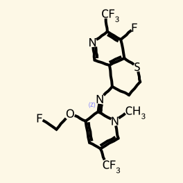 Cn1cc(C(F)(F)F)cc(OCF)/c1=N/C1CCSc2c1cnc(C(F)(F)F)c2F